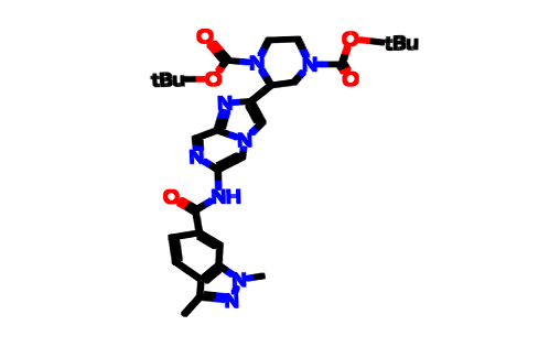 Cc1nn(C)c2cc(C(=O)Nc3cn4cc(C5CN(C(=O)OC(C)(C)C)CCN5C(=O)OC(C)(C)C)nc4cn3)ccc12